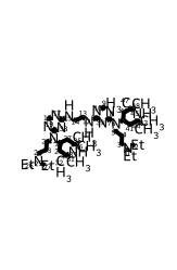 CCN(CC)CCCN(c1ncnc(NCCNc2ncnc(N(CCCN(CC)CC)C3CC(C)(C)NC(C)(C)C3)n2)n1)C1CC(C)(C)NC(C)(C)C1